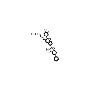 C[C@H](NC(=O)c1ccc2nc(C3C=CC(C(F)(F)F)=CC3)c(CCCCC(=O)O)nc2c1)C1=CC(c2ccccc2)CC=C1